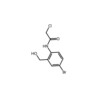 O=C(CCl)Nc1ccc(Br)cc1CO